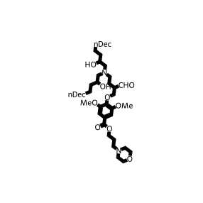 CCCCCCCCCCCCC(O)CN(CCC(C=O)COc1c(OC)cc(C(=O)OCCCN2CCOCC2)cc1OC)CC(O)CCCCCCCCCCCC